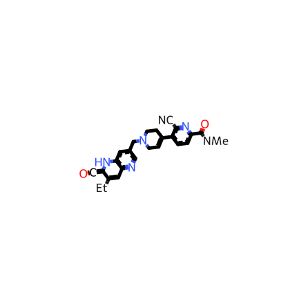 CCC1=Cc2ncc(CN3CC=C(c4ccc(C(=O)NC)nc4C#N)CC3)cc2NC1=C=O